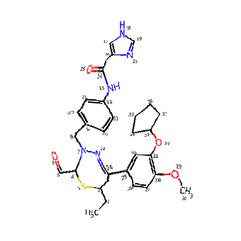 CCC1SC(C=O)N(Cc2ccc(NC(=O)c3c[nH]cn3)cc2)N=C1c1ccc(OC)c(OC2CCCC2)c1